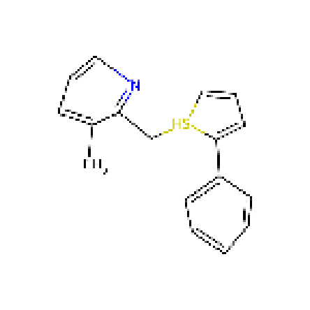 Cc1cccnc1C[SH]1[C]=CC=C1c1ccccc1